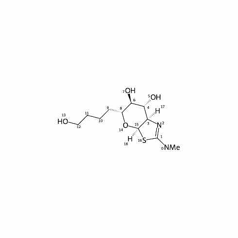 CNC1=N[C@@H]2[C@@H](O)[C@H](O)[C@@H](CCCCO)O[C@@H]2S1